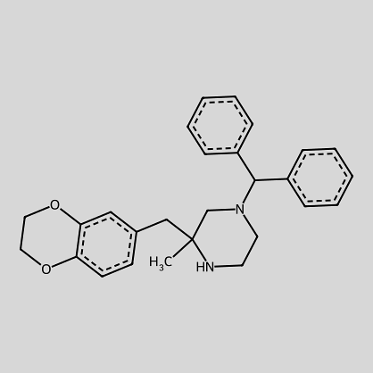 CC1(Cc2ccc3c(c2)OCCO3)CN(C(c2ccccc2)c2ccccc2)CCN1